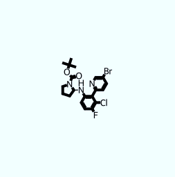 CC(C)(C)OC(=O)N1CCC[C@H]1Nc1ccc(F)c(Cl)c1-c1ccc(Br)cn1